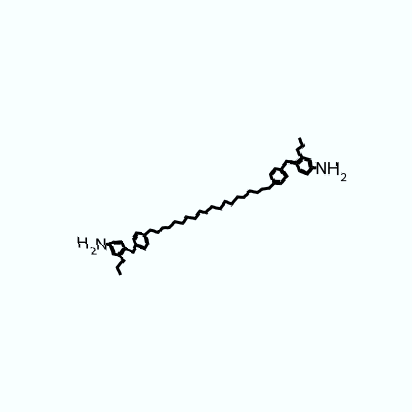 CCCc1cc(N)ccc1Cc1ccc(CCCCCCCCCCCCCCCCCCCCc2ccc(Cc3ccc(N)cc3CCC)cc2)cc1